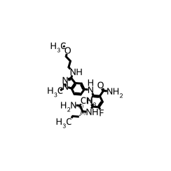 CCC[C@@H](Nc1nc(Nc2ccc3c(c2)c(NCCCOC)nn3C)c(C(N)=O)cc1F)[C@H](C)N